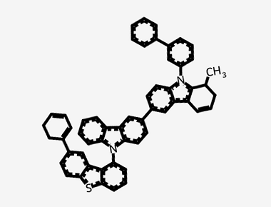 CC1CC=Cc2c1n(-c1cccc(-c3ccccc3)c1)c1ccc(-c3ccc4c(c3)c3ccccc3n4-c3cccc4sc5ccc(C6=CC=CCC6)cc5c34)cc21